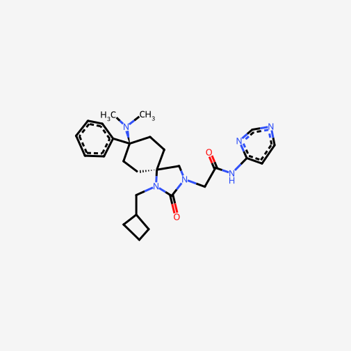 CN(C)[C@]1(c2ccccc2)CC[C@]2(CC1)CN(CC(=O)Nc1ccncn1)C(=O)N2CC1CCC1